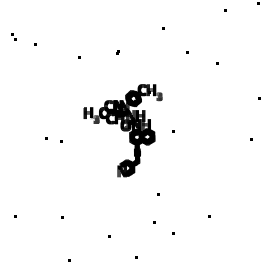 Cc1ccc(-n2nc(C(C)(C)C)cc2NC(=O)Nc2ccc(C#CCc3ccncc3)c3ccccc23)cc1